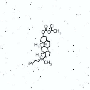 CC(C)CCC[C@@H](C)[C@H]1CCC2C3CC=C4CC(OC(=O)OC(C)Cl)CC[C@]4(C)C3CC[C@@]21C